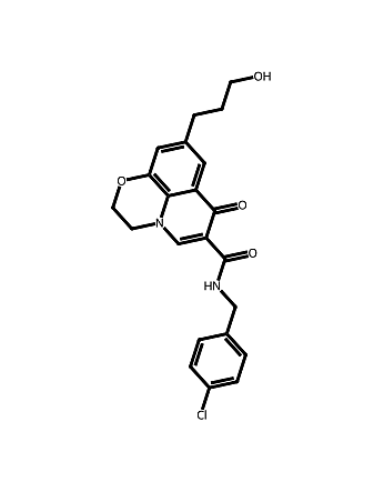 O=C(NCc1ccc(Cl)cc1)c1cn2c3c(cc(CCCO)cc3c1=O)OCC2